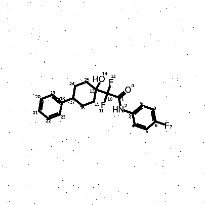 O=C(Nc1ccc(F)cc1)C(F)(F)C1(O)CCC(c2ccccc2)CC1